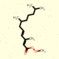 COOC(=O)/C=C(C)/C=C/CC(C)CCCC(C)C